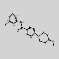 CCN1CCN(c2ccc(C(=O)Nc3cccc(C)n3)cn2)CC1